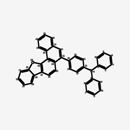 c1ccc(N(c2ccccc2)c2ccc(-c3cc4ccccc4c4c3ccc3c5ccccc5oc34)cc2)cc1